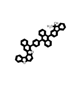 CC1(C)c2ccccc2-c2ccc(-c3c4ccccc4c(-c4ccc(-c5c6ccccc6cc6c5oc5ccc7oc8ccccc8c7c56)cc4)c4ccccc34)cc21